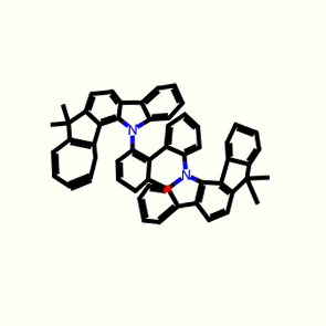 CC1CC=CC(n2c3ccccc3c3ccc4c(c32)C2=C(C=CC#CC2)C4(C)C)=C1c1ccccc1-n1c2ccccc2c2ccc3c(c21)-c1ccccc1C3(C)C